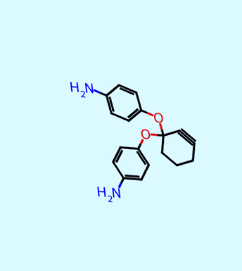 Nc1ccc(OC2(Oc3ccc(N)cc3)C#CCCC2)cc1